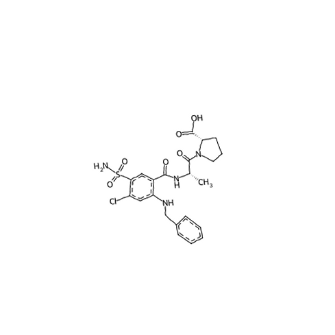 C[C@H](NC(=O)c1cc(S(N)(=O)=O)c(Cl)cc1NCc1ccccc1)C(=O)N1CCC[C@H]1C(=O)O